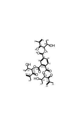 C=C(C)C(=O)C(OC(=O)c1ccc(C(=O)OC(C(=O)C(=C)C)C(C)O)c(C(=O)OC(C(=O)C(=C)C)C(C)O)c1)C(C)O